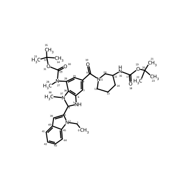 CCn1c(C2Nc3cc(C(=O)N4CCCC(NC(=O)OC(C)(C)C)C4)cc(N(C)C(=O)OC(C)(C)C)c3N2C)cc2ccccc21